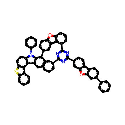 c1ccc(-c2ccc3c(c2)oc2cc(-c4nc(-c5ccccc5)nc(-c5cccc6oc7ccc(-c8cccc9c%10c%11c(ccc%10n(-c%10ccccc%10)c89)sc8ccccc8%11)cc7c56)n4)ccc23)cc1